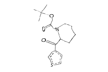 CC(C)(C)OC(=O)N1CCCCC1C(=O)c1ccsc1